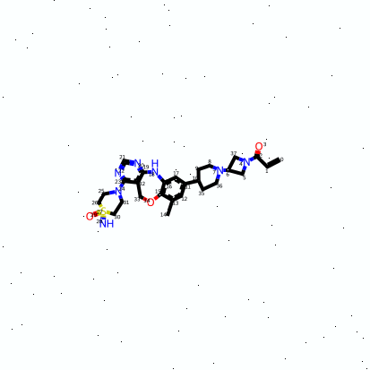 C=CC(=O)N1CC(N2CCC(c3cc(C)c4c(c3)Nc3ncnc(N5CCS(=N)(=O)CC5)c3CO4)CC2)C1